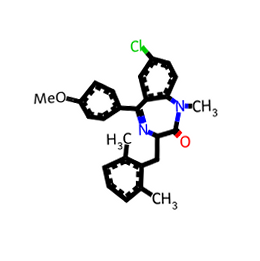 COc1ccc(C2=NC(Cc3c(C)cccc3C)C(=O)N(C)c3ccc(Cl)cc32)cc1